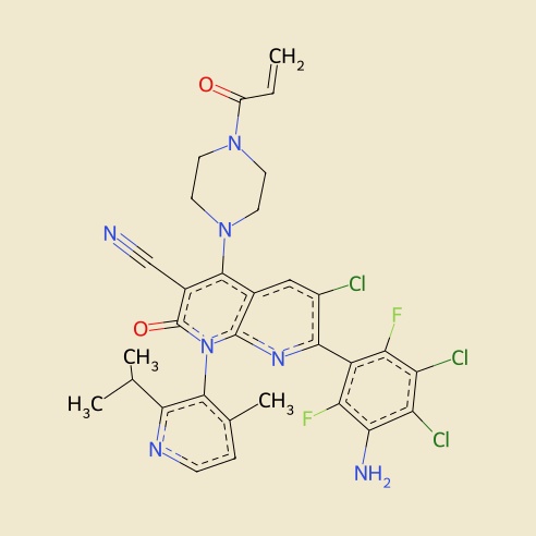 C=CC(=O)N1CCN(c2c(C#N)c(=O)n(-c3c(C)ccnc3C(C)C)c3nc(-c4c(F)c(N)c(Cl)c(Cl)c4F)c(Cl)cc23)CC1